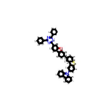 c1ccc(-c2nc(-c3ccccc3)nc(-c3ccc4c(c3)oc3cc(-c5ccc6sc7ccc(-n8c9ccccc9c9ccccc98)cc7c6c5)ccc34)n2)cc1